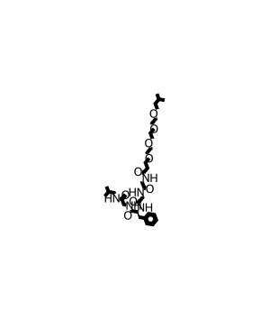 CC(C)CCOCCOCCOCCOCCC(=O)NCC(=O)NCC(=O)N[C@@H](Cc1ccccc1)C(=O)NCC(=O)NCC(C)C